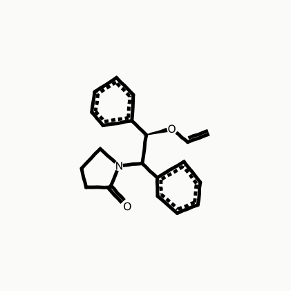 C=CO[C@H](c1ccccc1)C(c1ccccc1)N1CCCC1=O